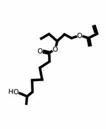 C=CC(=C)OCCC(CC)OC(=O)CCCCCC(C)O